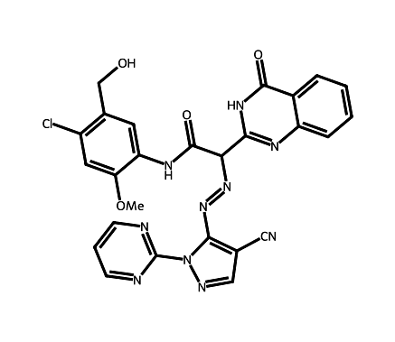 COc1cc(Cl)c(CO)cc1NC(=O)C(N=Nc1c(C#N)cnn1-c1ncccn1)c1nc2ccccc2c(=O)[nH]1